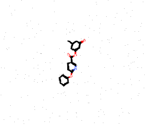 CC1CC(=O)C=C(OC(=O)c2ccc(Oc3ccccc3)nc2)C1